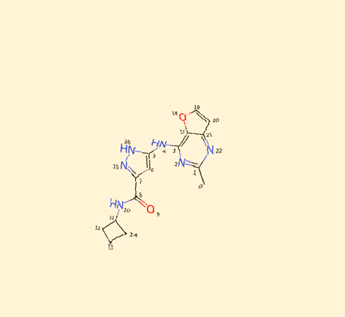 Cc1nc(Nc2cc(C(=O)NC3CCC3)n[nH]2)c2occc2n1